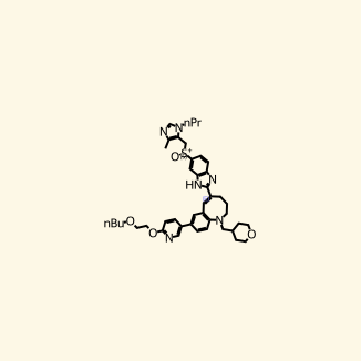 CCCCOCCOc1ccc(-c2ccc3c(c2)/C=C(/c2nc4ccc([S@+]([O-])Cc5c(C)ncn5CCC)cc4[nH]2)CCCN3CC2CCOCC2)cn1